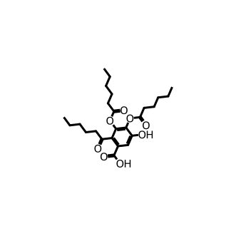 CCCCCC(=O)Oc1c(O)cc(C(=O)O)c(C(=O)CCCCC)c1OC(=O)CCCCC